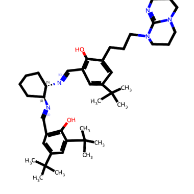 CC(C)(C)c1cc(/C=N/[C@H]2CCCC[C@@H]2/N=C/c2cc(C(C)(C)C)cc(C(C)(C)C)c2O)c(O)c(CCCN2CCCN3CCCN=C32)c1